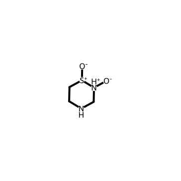 [O-][NH+]1CNCC[S+]1[O-]